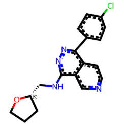 Clc1ccc(-c2nnc(NC[C@@H]3CCCO3)c3cnccc23)cc1